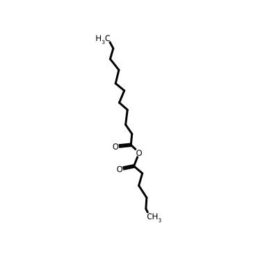 CCCCCCCCCCC(=O)OC(=O)CCCCC